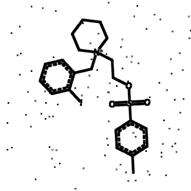 Cc1ccc(S(=O)(=O)OCC[N+]2(Cc3ccccc3I)CCCCC2)cc1